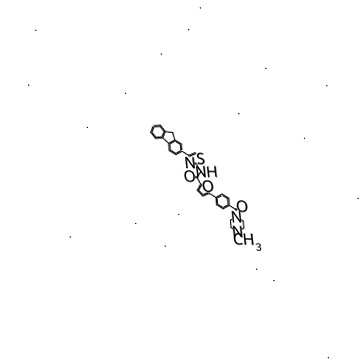 CN1CCN(C(=O)c2ccc(-c3ccc(C(=O)Nc4nc(-c5ccc6c(c5)Cc5ccccc5-6)cs4)o3)cc2)CC1